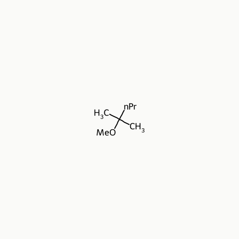 C[CH]CC(C)(C)OC